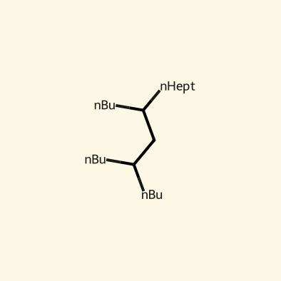 CCCCCCCC(CCCC)CC(CCCC)CCCC